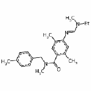 CCN(C)/C=N/c1cc(C)c(C(=O)N(C)Cc2ccc(C)cc2)cc1C